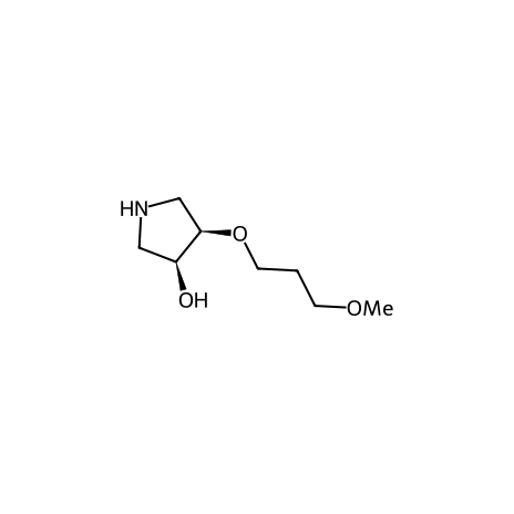 COCCCO[C@@H]1CNC[C@@H]1O